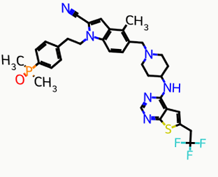 Cc1c(CN2CCC(Nc3ncnc4sc(CC(F)(F)F)cc34)CC2)ccc2c1cc(C#N)n2CCc1ccc(P(C)(C)=O)cc1